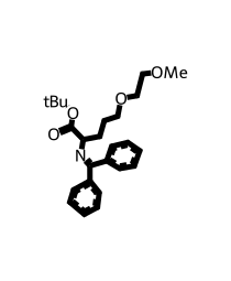 COCCOCCCC(N=C(c1ccccc1)c1ccccc1)C(=O)OC(C)(C)C